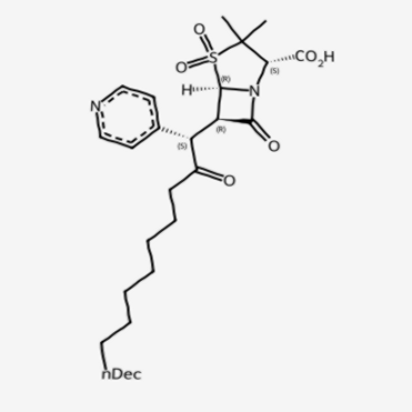 CCCCCCCCCCCCCCCCCC(=O)[C@H](c1ccncc1)[C@@H]1C(=O)N2[C@@H](C(=O)O)C(C)(C)S(=O)(=O)[C@H]12